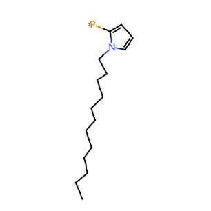 CCCCCCCCCCCCn1cccc1[P]